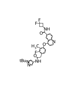 Cc1c(Oc2ccnc3ccc(C(=O)NC4CC(F)(F)C4)cc23)ccc(CC(=O)Nc2cnn(C(C)(C)C)c2)c1F